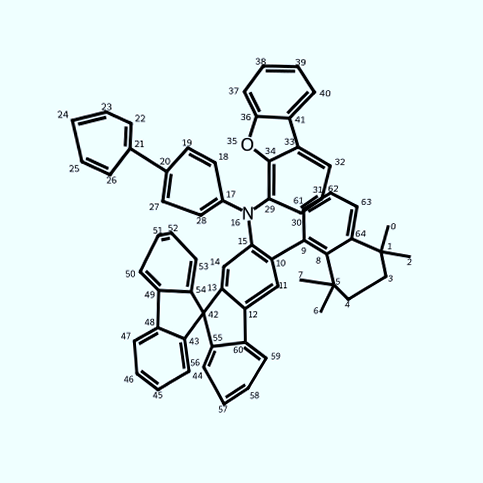 CC1(C)CCC(C)(C)c2c(-c3cc4c(cc3N(c3ccc(-c5ccccc5)cc3)c3cccc5c3oc3ccccc35)C3(c5ccccc5-c5ccccc53)c3ccccc3-4)cccc21